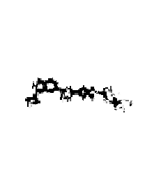 CC(C)(C)OC(=O)N1CC2(CC(c3noc(-c4ccc5cnn(C6COC6)c5c4)n3)C2)C1